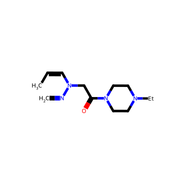 C=NN(/C=C\C)CC(=O)N1CCN(CC)CC1